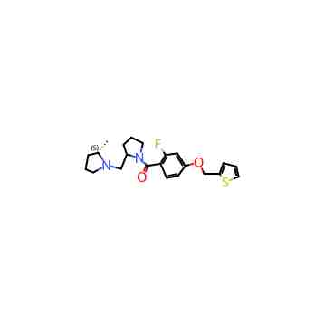 C[C@H]1CCCN1CC1CCCN1C(=O)c1ccc(OCc2cccs2)cc1F